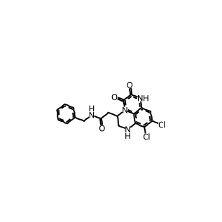 O=C(CC1CNc2c(Cl)c(Cl)cc3[nH]c(=O)c(=O)n1c23)NCc1ccccc1